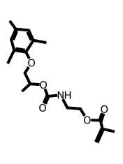 C=C(C)C(=O)OCCNC(=O)OC(C)COc1c(C)cc(C)cc1C